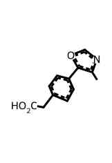 Cc1ncoc1-c1ccc(CC(=O)O)cc1